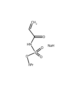 C=CC(=O)NS(=O)(=O)OCCC.[NaH]